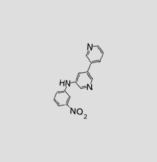 O=[N+]([O-])c1cccc(Nc2cncc(-c3cccnc3)c2)c1